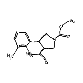 Cc1cccc2c1NC(=O)C1CN(C(=O)OC(C)(C)C)CC21